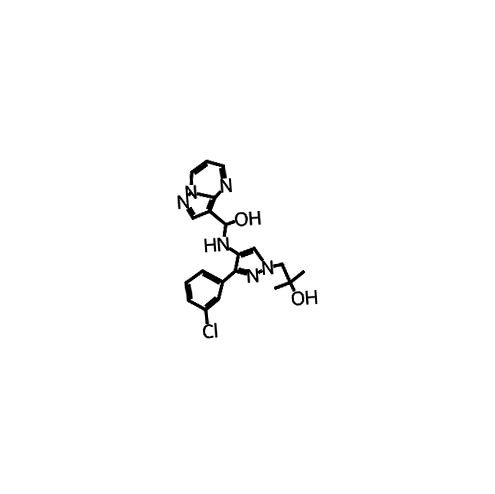 CC(C)(O)Cn1cc(NC(O)c2cnn3cccnc23)c(-c2cccc(Cl)c2)n1